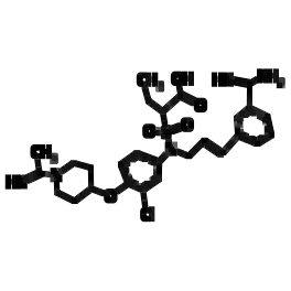 CCC(C(=O)O)S(=O)(=O)N(C/C=C/c1cccc(C(=N)N)c1)c1ccc(OC2CCN(C(C)=N)CC2)c(Cl)c1